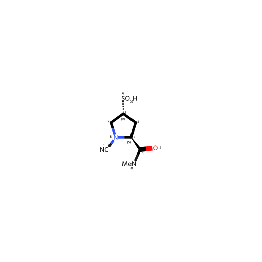 CNC(=O)[C@@H]1C[C@@H](S(=O)(=O)O)CN1C#N